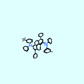 Cc1cccc(N(c2ccccc2)c2cc(-c3ccccc3)c3ccc4c(N(c5ccccc5)c5cccc([Si](C)(C)C)c5)cc(-c5ccccc5)c5ccc2c3c54)c1